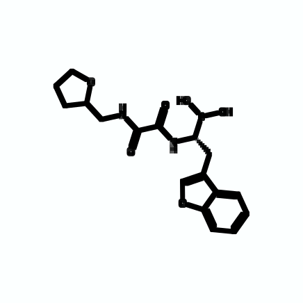 O=C(NCC1CCCO1)C(=O)N[C@@H](Cc1coc2ccccc12)B(O)O